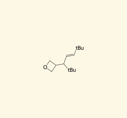 CC(C)(C)/C=C/C(C1COC1)C(C)(C)C